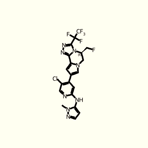 Cn1nccc1Nc1cc(-c2cc3n(c2)C[C@H](CF)n2c-3nnc2C(F)(F)C(F)(F)F)c(Cl)cn1